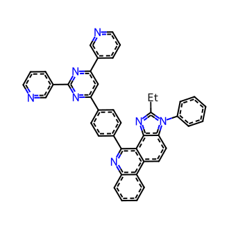 CCc1nc2c3c(-c4ccc(-c5cc(-c6cccnc6)nc(-c6cccnc6)n5)cc4)nc4ccccc4c3ccc2n1-c1ccccc1